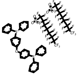 O=S(=O)([O-])C(F)(F)C(F)(F)C(F)(F)C(F)(F)C(F)(F)C(F)(F)C(F)(F)C(F)(F)F.O=S(=O)([O-])C(F)(F)C(F)(F)C(F)(F)C(F)(F)C(F)(F)C(F)(F)C(F)(F)C(F)(F)F.c1ccc([S+](c2ccccc2)c2ccc(Oc3ccc([S+](c4ccccc4)c4ccccc4)cc3)cc2)cc1